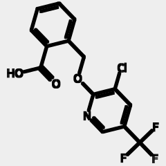 O=C(O)c1ccccc1COc1ncc(C(F)(F)F)cc1Cl